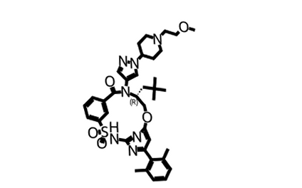 COCCN1CCC(n2cc(N3C(=O)c4cccc(c4)S(=O)(=O)Nc4nc(cc(-c5c(C)cccc5C)n4)OC[C@H]3CC(C)(C)C)cn2)CC1